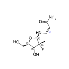 C[C@]1(F)[C@H](N/C=C\C(N)=O)O[C@H](CO)[C@H]1O